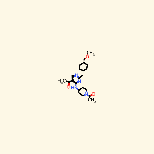 COC[C@H]1CC[C@H](Cc2ncc(C(C)=O)c(NC3CCN(C(C)=O)CC3)n2)CC1